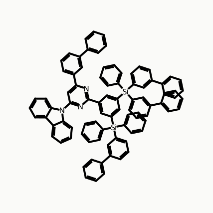 c1ccc(-c2cccc(-c3cc(-n4c5ccccc5c5ccccc54)nc(-c4cc([Si](c5ccccc5)(c5ccccc5)c5cccc(-c6ccccc6)c5)cc([Si](c5ccccc5)(c5cccc(-c6ccccc6)c5)c5cccc(-c6ccccc6)c5)c4)n3)c2)cc1